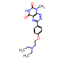 CCN(CC)CCOc1ccc(-c2nnc3c(n2)c(=O)[nH]c(=O)n3C)cc1